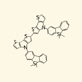 C[Si]1(C)c2ccccc2-c2cc(-n3c4ccsc4c4sc(-c5cc6c(s5)c5sccc5n6-c5ccc6c(c5)-c5ccccc5[Si]6(C)C)cc43)ccc21